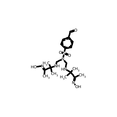 C/C(=N\O)C(C)(C)NCN(CNC(C)(C)/C(C)=N/O)S(=O)(=O)c1ccc(C=O)cc1